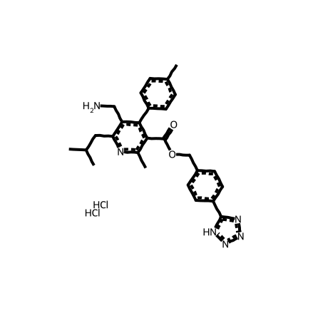 Cc1ccc(-c2c(CN)c(CC(C)C)nc(C)c2C(=O)OCc2ccc(-c3nnn[nH]3)cc2)cc1.Cl.Cl